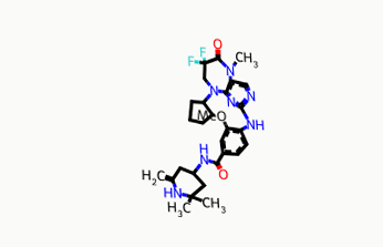 C=C1CC(NC(=O)c2ccc(Nc3ncc4c(n3)N(C3CCCC3)CC(F)(F)C(=O)N4C)c(OC)c2)CC(C)(C)N1